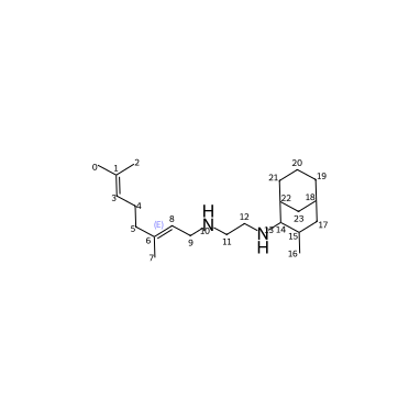 CC(C)=CCC/C(C)=C/CNCCNC1C(C)CC2CCCC1C2